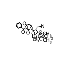 CC(C)(C)[Si](C)(C)O[C@H]1[C@@H](CC#N)[C@H](n2ccc(=O)n(C(=O)c3ccccc3)c2=O)O[C@@H]1C=O